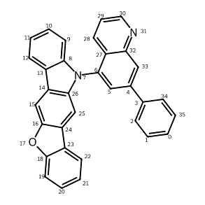 c1ccc(-c2cc(-n3c4ccccc4c4cc5oc6ccccc6c5cc43)c3cccnc3c2)cc1